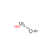 CC(C)c1cccc(/C=C/CCC[C@H](C)CO)c1